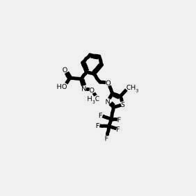 CO/N=C(/C(=O)O)c1ccccc1COc1nc(C(F)(F)C(F)(F)F)sc1C